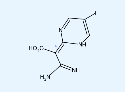 N=C(N)/C(C(=O)O)=C1/N=CC(I)=CN1